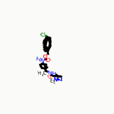 CCn1nccc1C(=O)N[C@@H](C)c1ccc(NC(=O)OCc2ccc(Cl)cc2)cc1